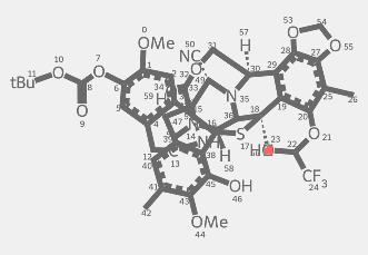 COc1cc2c(cc1OC(=O)OC(C)(C)C)CCN[C@]21CS[C@@H]2c3c(OC(O)C(F)(F)F)c(C)c4c(c3[C@H](COC1=O)N1C2[C@@H]2c3c(cc(C)c(OC)c3O)C[C@@H]([C@@H]1C#N)N2C)OCO4